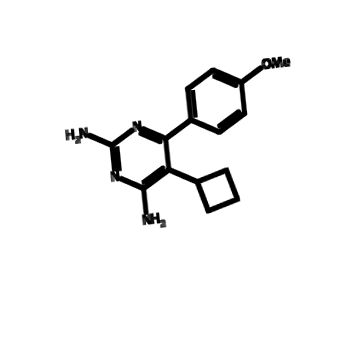 COc1ccc(-c2nc(N)nc(N)c2C2CCC2)cc1